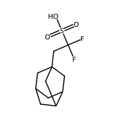 O=S(=O)(O)C(F)(F)CC12CC3CC(C1)C(C3)C2